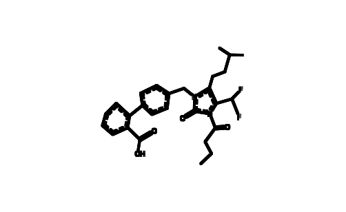 CCCC(=O)n1c(C(F)F)c(CCC(C)C)n(Cc2ccc(-c3ccccc3C(=O)O)cc2)c1=O